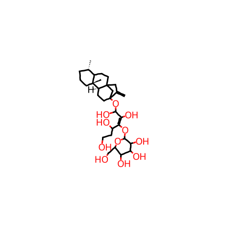 C=C1CC23CCC4[C@@H](C)CCC[C@@]4(C)[C@@H]2CCC1(OC(O)/C(O)=C(/OC1OC(CO)C(O)C(O)C1O)C(O)CCO)C3